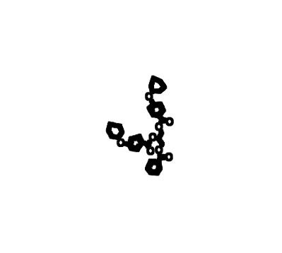 O=C(OCC(COC(=O)c1ccc(OC2CCCCC2)cc1)OC(=O)c1ccc(OC2CCCCC2)cc1)c1ccccc1